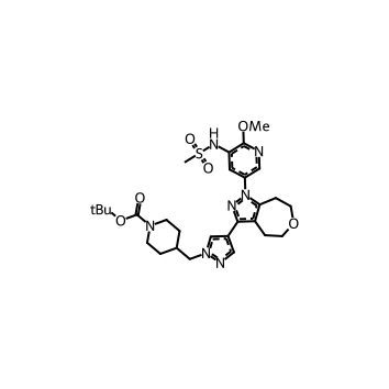 COc1ncc(-n2nc(-c3cnn(CC4CCN(C(=O)OC(C)(C)C)CC4)c3)c3c2CCOCC3)cc1NS(C)(=O)=O